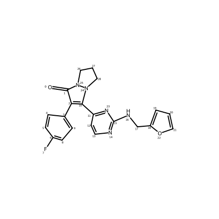 O=c1c(-c2ccc(F)cc2)c(-c2ccnc(NCc3ccco3)n2)n2n1CCC2